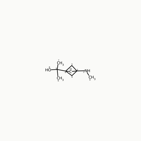 CNC12CC(C(C)(C)O)(C1)C2